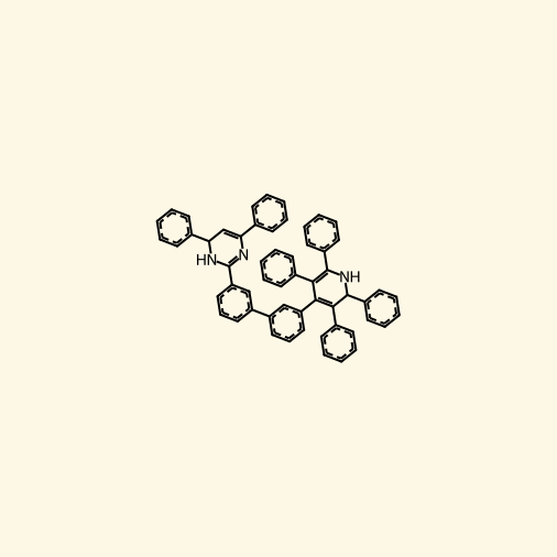 C1=C(c2ccccc2)N=C(c2cccc(-c3cccc(C4=C(c5ccccc5)C(c5ccccc5)NC(c5ccccc5)=C4c4ccccc4)c3)c2)NC1c1ccccc1